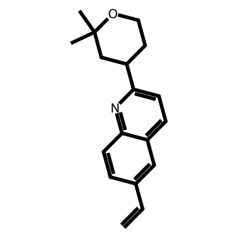 C=Cc1ccc2nc(C3CCOC(C)(C)C3)ccc2c1